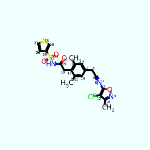 Cc1cc(CC#[N+]c2onc(C)c2Cl)cc(C)c1CC(=O)NS(=O)(=O)c1ccsc1